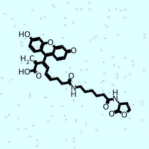 C=C(C(=O)O)/C(=C\C=C/CCC(=O)NCCCCCC(=O)N[C@H]1CCOC1=O)c1c2ccc(=O)cc-2oc2cc(O)ccc12